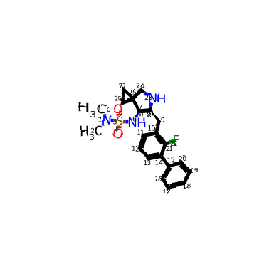 CN(C)S(=O)(=O)N[C@@H]1[C@H](Cc2cccc(-c3ccccc3)c2F)NCC12CC2